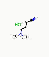 CN(C)CCCC#N.Cl